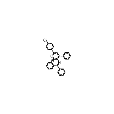 O=c1oc(-c2ccc(Cl)cc2)cc(-c2ccccc2)c1N=C(c1ccccc1)c1ccccc1